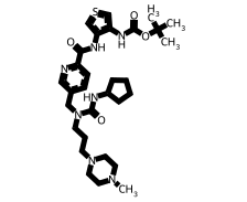 CN1CCN(CCCN(Cc2ccc(C(=O)Nc3cscc3NC(=O)OC(C)(C)C)nc2)C(=O)NC2CCCC2)CC1